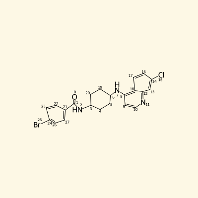 O=C(NC1CCC(Nc2ccnc3cc(Cl)ccc23)CC1)c1ccc(Br)cc1